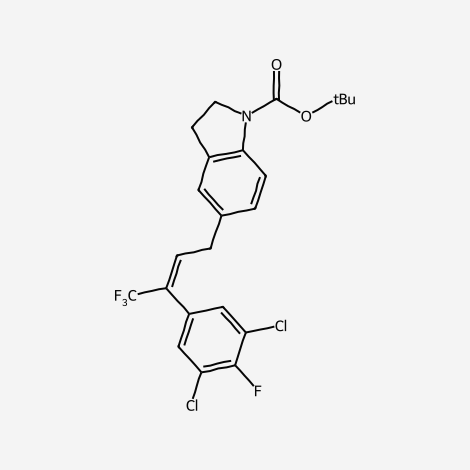 CC(C)(C)OC(=O)N1CCc2cc(CC=C(c3cc(Cl)c(F)c(Cl)c3)C(F)(F)F)ccc21